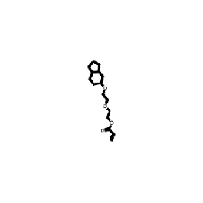 C=CC(=O)OCCOCCOC1CCC2CCCC2C1